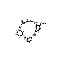 COc1ccc2cc1OCCNC(=O)COc1cccc(c1)Nc1cc(ncn1)N2